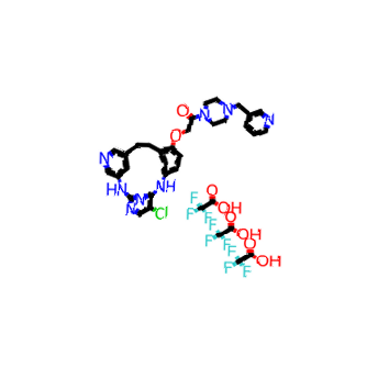 O=C(COc1ccc2cc1CCc1cncc(c1)Nc1ncc(Cl)c(n1)N2)N1CCN(Cc2cccnc2)CC1.O=C(O)C(F)(F)F.O=C(O)C(F)(F)F.O=C(O)C(F)(F)F